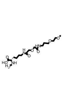 COCCOCCCNC(=O)COCC(=O)NCCCC[C@H](NP)C(=O)O